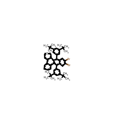 CC(C)(C)c1cc(-c2c3cc(Br)c(Br)cc3c(-c3cc(C(C)(C)C)cc(C(C)(C)C)c3)c3c4ccccc4c4ccccc4c23)cc(C(C)(C)C)c1